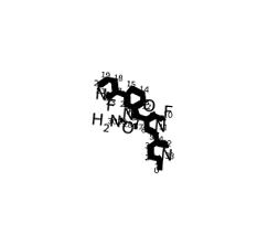 Cc1ccc(-c2cc3c(c(F)n2)Oc2ccc(-c4cccnc4F)cc2[C@@]32COC(N)=N2)cn1